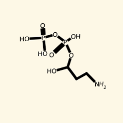 NCCC(O)OP(=O)(O)OP(=O)(O)O